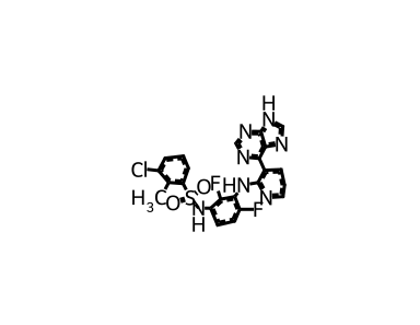 Cc1c(Cl)cccc1S(=O)(=O)Nc1ccc(F)c(Nc2ncccc2-c2ncnc3[nH]cnc23)c1F